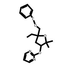 CCC1(COCc2ccccc2)CC(Oc2ncccn2)C(C)(C)O1